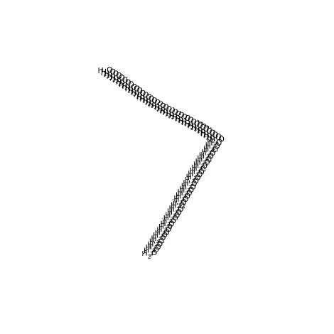 O.O.O.O.O.O.O.O.O.O.O.O.O.O.O.O.O.O.O.O.O.O.O.O.O.O.O.O.O.O.O.O.O.O.O.O.O.O.O.O.O.O.O.O.O.O.O.O.O.O.O.O.O.O.O.O.O.O.O.O.O.O.O.O.O.O.O.O.O.O.O.O.O.O.O